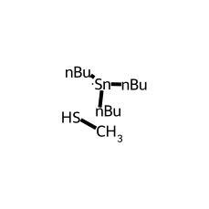 CCC[CH2][Sn]([CH2]CCC)[CH2]CCC.CS